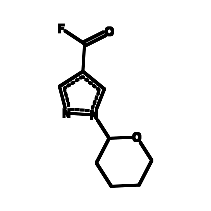 O=C(F)c1cnn(C2CCCCO2)c1